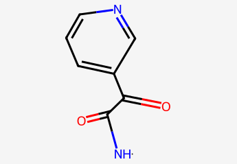 [NH]C(=O)C(=O)c1cccnc1